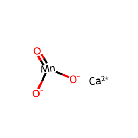 [Ca+2].[O]=[Mn]([O-])[O-]